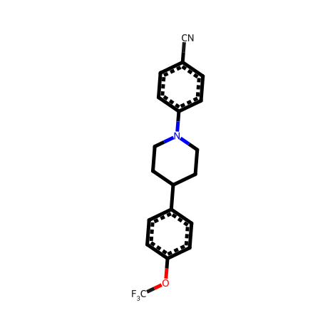 N#Cc1ccc(N2CCC(c3ccc(OC(F)(F)F)cc3)CC2)cc1